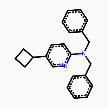 c1ccc(CN(Cc2ccccc2)c2ccc(C3CCC3)cn2)cc1